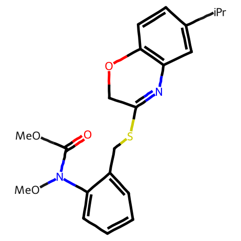 COC(=O)N(OC)c1ccccc1CSC1=Nc2cc(C(C)C)ccc2OC1